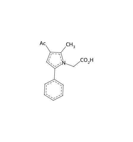 CC(=O)c1cc(-c2ccccc2)n(CC(=O)O)c1C